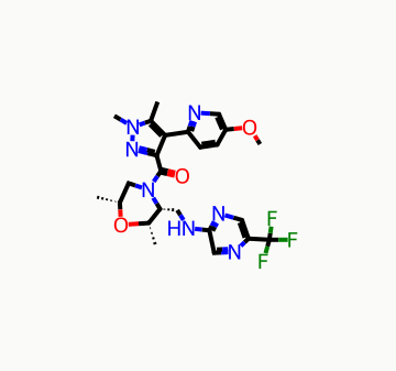 COc1ccc(-c2c(C(=O)N3C[C@@H](C)O[C@@H](C)[C@H]3CNc3cnc(C(F)(F)F)cn3)nn(C)c2C)nc1